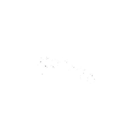 COc1cccc(-c2ccc(N3CCN(Cc4cnc5c(c4)NC(=O)[C@@H]4CCCCN54)CC3)cc2)n1